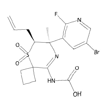 C=CC[C@H]1[C@@](C)(c2cc(Br)cnc2F)N=C(NC(=O)O)C2(CCC2)S1(=O)=O